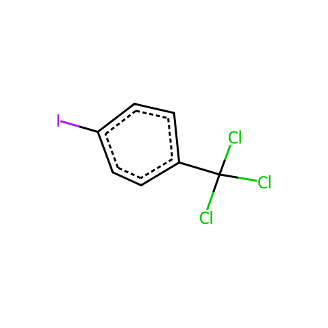 ClC(Cl)(Cl)c1ccc(I)cc1